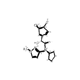 C[C@@H](C(=O)N(c1ccn(C)n1)C1CCCC1)c1ccc(Cl)c(Cl)c1